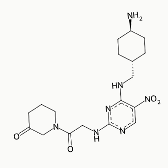 N[C@H]1CC[C@H](CNc2nc(NCC(=O)N3CCCC(=O)C3)ncc2[N+](=O)[O-])CC1